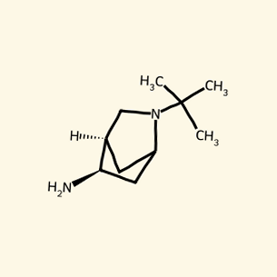 CC(C)(C)N1C[C@H]2CC1C[C@H]2N